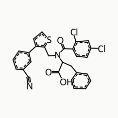 N#Cc1cccc(-c2ccsc2CN(C(=O)c2ccc(Cl)cc2Cl)C(Cc2ccccc2)C(=O)O)c1